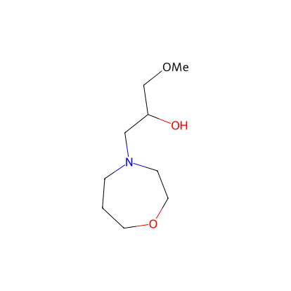 COCC(O)CN1CCCOCC1